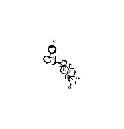 C[C@]12CC(=O)CNC1=CC[C@@H]1[C@H]2CC[C@]2(C)C(C(=O)NC3(c4ccc(Cl)cc4)CCCC3)CC[C@@H]12